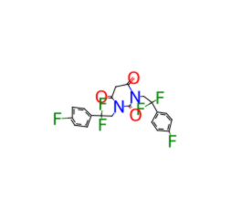 O=C1CC(=O)N(CC(F)(F)c2ccc(F)cc2)C(=O)N1CC(F)(F)c1ccc(F)cc1